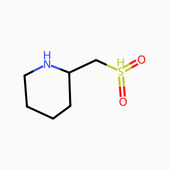 O=[SH](=O)CC1CCCCN1